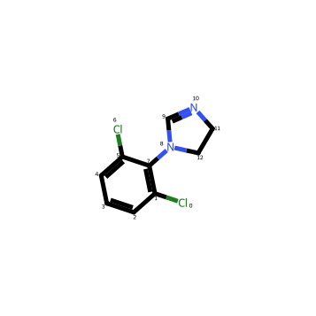 Clc1cccc(Cl)c1N1C=NCC1